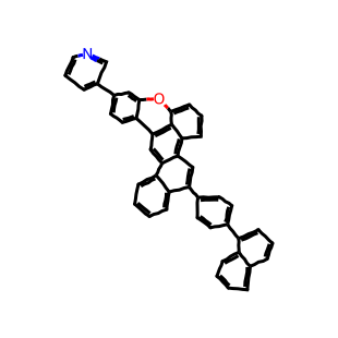 c1cncc(-c2ccc3c(c2)Oc2cccc4c2c-3cc2c3ccccc3c(-c3ccc(-c5cccc6ccccc56)cc3)cc42)c1